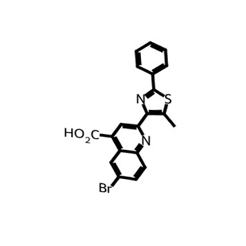 Cc1sc(-c2ccccc2)nc1-c1cc(C(=O)O)c2cc(Br)ccc2n1